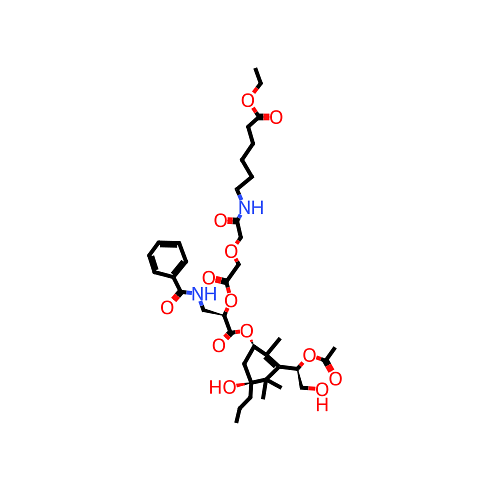 CCC[C@]1(O)C[C@H](OC(=O)[C@@H](CNC(=O)c2ccccc2)OC(=O)COCC(=O)NCCCCCC(=O)OCC)C(C)=C([C@H](CO)OC(C)=O)C1(C)C